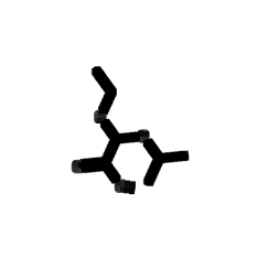 CCOC(OC(C)C)C(=O)O